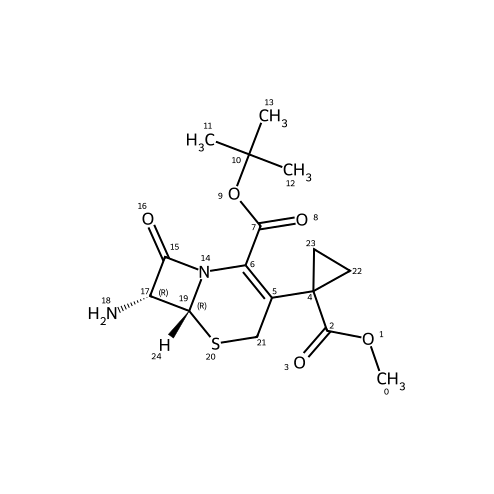 COC(=O)C1(C2=C(C(=O)OC(C)(C)C)N3C(=O)[C@@H](N)[C@H]3SC2)CC1